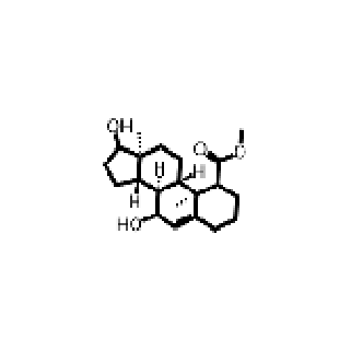 COC(=O)C1CCCC2=CC(O)[C@H]3[C@@H]4CCC(O)[C@@]4(C)CC[C@@H]3[C@]21C